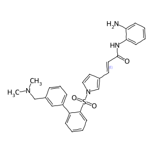 CN(C)Cc1cccc(-c2ccccc2S(=O)(=O)n2ccc(/C=C/C(=O)Nc3ccccc3N)c2)c1